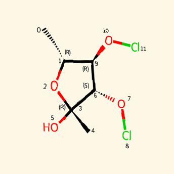 C[C@H]1O[C@@](C)(O)[C@@H](OCl)[C@@H]1OCl